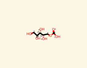 O=C(O)OC[C@H](O)[C@@H](O)[C@H](O)CO